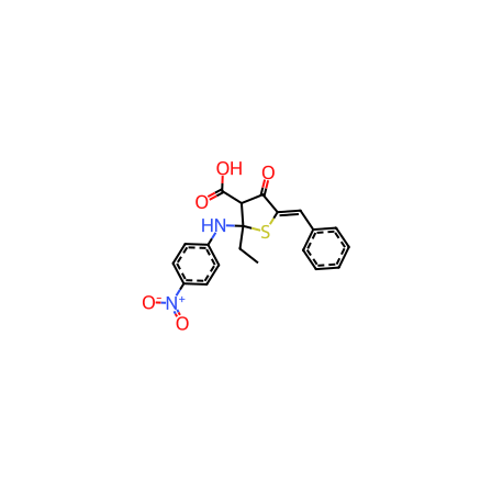 CCC1(Nc2ccc([N+](=O)[O-])cc2)SC(=Cc2ccccc2)C(=O)C1C(=O)O